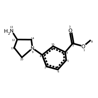 COC(=O)c1cccc(N2CCC(N)C2)c1